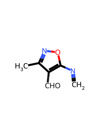 C=Nc1onc(C)c1C=O